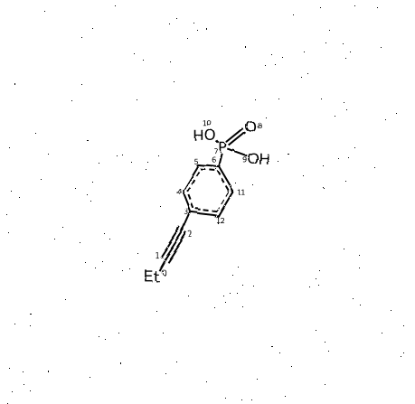 CCC#Cc1ccc(P(=O)(O)O)cc1